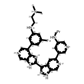 CC(C)Nc1cncc(-c2cc3c(-c4nc5c(-c6cc(F)cc(NCCN(C)C)c6)cncc5[nH]4)n[nH]c3cn2)c1